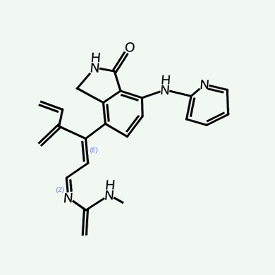 C=CC(=C)/C(=C\C=N/C(=C)NC)c1ccc(Nc2ccccn2)c2c1CNC2=O